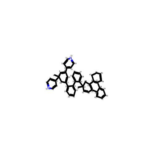 CC1(c2ccncc2)C=C(c2ccncc2)C=C(c2ccccc2-c2ccccc2C2(C)C=Cc3c(c4c(c5ccccc35)C=CCC4)C2)C1